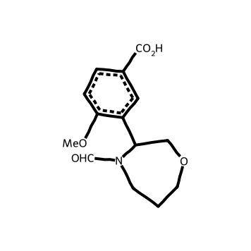 COc1ccc(C(=O)O)cc1C1COCCCN1C=O